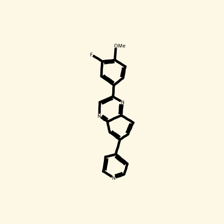 COc1ccc(-c2cnc3cc(-c4ccncc4)ccc3n2)cc1F